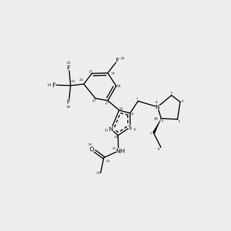 CC[C@@H]1CCCN1Cc1sc(NC(C)=O)nc1C1=CC(F)=CC(C(F)(F)F)C1